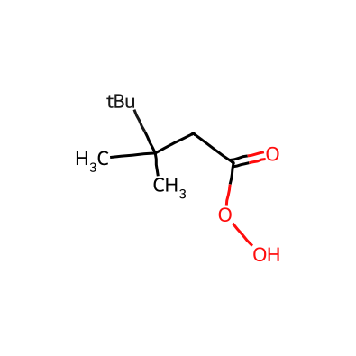 CC(C)(C)C(C)(C)CC(=O)OO